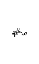 Cc1cn([C@H]2C[C@H](O)[C@@H](COCCCC(=O)c3cccnc3)O2)c(=O)[nH]c1=O